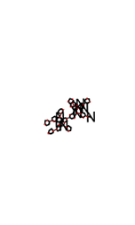 N#Cc1ccc(-n2c3ccc(-c4ccccc4)cc3c3cc(-c4cc5c6c(c4)N(c4ccccc4)c4ccc(-c7ccccc7)cc4B6c4cc(-c6ccccc6)ccc4N5c4ccccc4)ccc32)c(-c2nc(-c3ccccc3)nc(-c3ccccc3)n2)c1